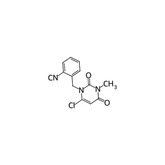 [C-]#[N+]c1ccccc1Cn1c(Cl)cc(=O)n(C)c1=O